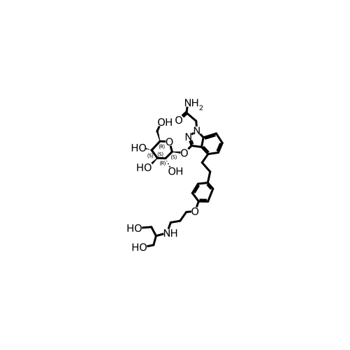 NC(=O)Cn1nc(O[C@@H]2O[C@H](CO)[C@@H](O)[C@H](O)[C@H]2O)c2c(CCc3ccc(OCCCNC(CO)CO)cc3)cccc21